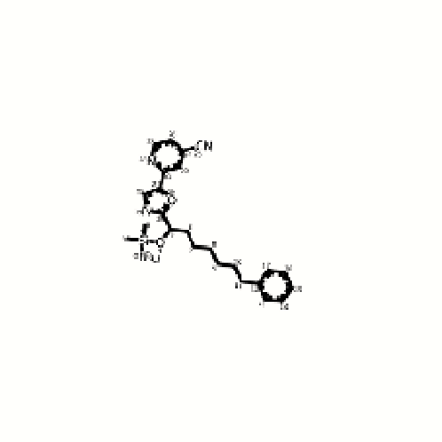 CC(C)(C)[Si](C)(C)OC(CCCCCCc1ccccc1)c1ncc(-c2cc(C#N)ccn2)o1